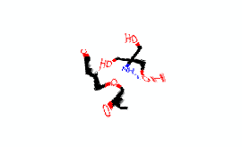 CC(=O)OCCC=O.NC(CO)(CO)CO